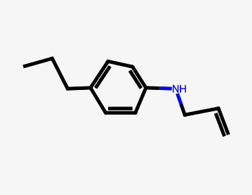 C=CCNc1ccc(CCC)cc1